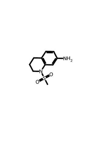 CS(=O)(=O)N1CCCc2ccc(N)cc21